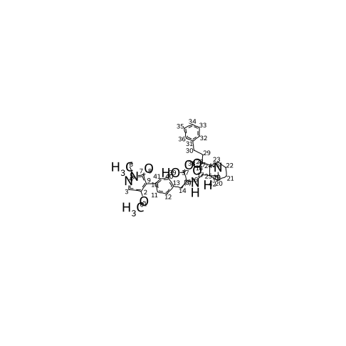 COc1cnn(C)c(=O)c1-c1ccc(C[C@H](NC(=O)[C@@H]2C3CCC(CC3)N2C(=O)CCc2ccccc2)C(=O)O)cc1